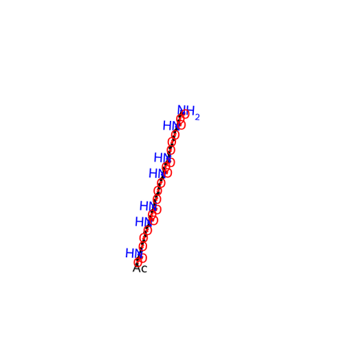 CC(=O)COCC(=O)NCCOCCOCCOCCNC(=O)COCC(=O)NCCOCCOCCOCCNC(=O)COCC(=O)NCCOCCOCCOCCNC(=O)COCC(N)=O